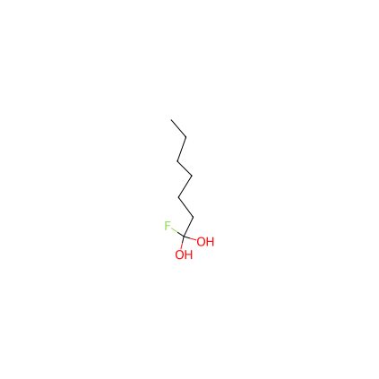 CCCCCCC(O)(O)F